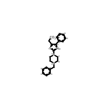 O=C(O)Cc1sc(N2CCN(Cc3ccccc3)CC2)nc1-c1ccccc1